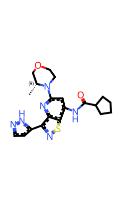 C[C@@H]1COCCN1c1cc(NC(=O)C2CCCC2)c2snc(-c3ccn[nH]3)c2n1